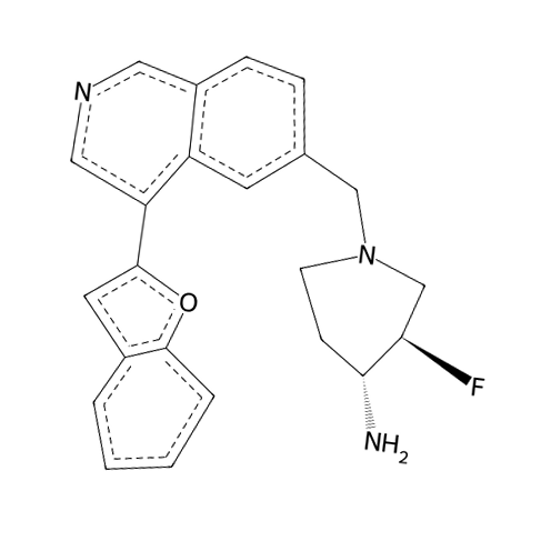 N[C@@H]1CCN(Cc2ccc3cncc(-c4cc5ccccc5o4)c3c2)C[C@H]1F